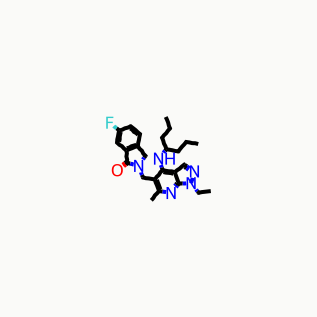 CCCC(CCC)Nc1c(CN2Cc3ccc(F)cc3C2=O)c(C)nc2c1cnn2CC